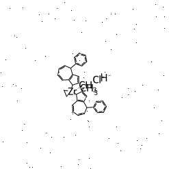 CC1=CC2=C(C=CC=CC2c2ccccc2)[CH]1[Zr]1([CH]2C(C)=CC3=C2C=CC=CC3c2ccccc2)[CH2][CH2]1.[Cl-].[H-]